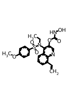 C=Cc1cccc2c(N(CC)S(=O)(=O)c3ccc(OC)cc3)c(OC(=O)NO)cnc12